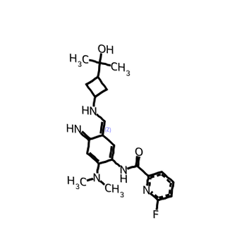 CN(C)C1=CC(=N)/C(=C\NC2CC(C(C)(C)O)C2)C=C1NC(=O)c1cccc(F)n1